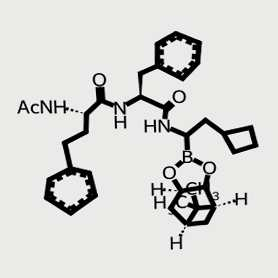 CC(=O)N[C@@H](CCc1ccccc1)C(=O)N[C@@H](Cc1ccccc1)C(=O)NC(CC1CCC1)B1OC2[C@H]3C[C@@H](C[C@H]2O1)C3(C)C